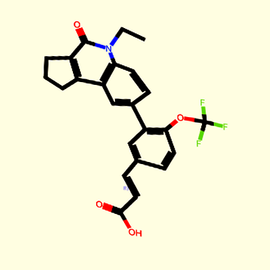 CCn1c(=O)c2c(c3cc(-c4cc(/C=C/C(=O)O)ccc4OC(F)(F)F)ccc31)CCC2